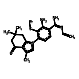 C=C/N=C(/N)c1ccc(-n2cc(C)c3c2CC(C)(C)CC3=O)c(SC(C)C)c1N